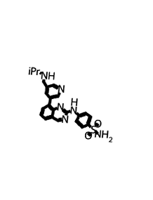 CC(C)NCc1cncc(-c2cccc3cnc(Nc4ccc(S(N)(=O)=O)cc4)nc23)c1